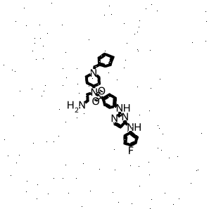 NCCN(C1CCN(Cc2ccccc2)CC1)S(=O)(=O)c1ccc(Nc2nccc(Nc3ccc(F)cc3)n2)cc1